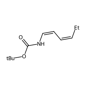 CC/C=C\C=C/NC(=O)OC(C)(C)C